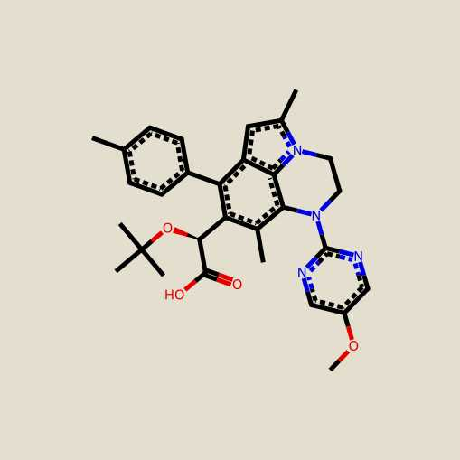 COc1cnc(N2CCn3c(C)cc4c(-c5ccc(C)cc5)c([C@H](OC(C)(C)C)C(=O)O)c(C)c2c43)nc1